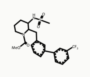 COC(=O)N1CCCC(NS(C)(=O)=O)C1Cc1cccc(-c2cccc(C(F)(F)F)c2)c1